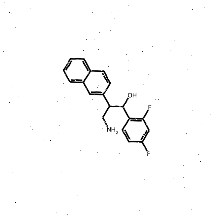 NCC(c1ccc2ccccc2c1)C(O)c1ccc(F)cc1F